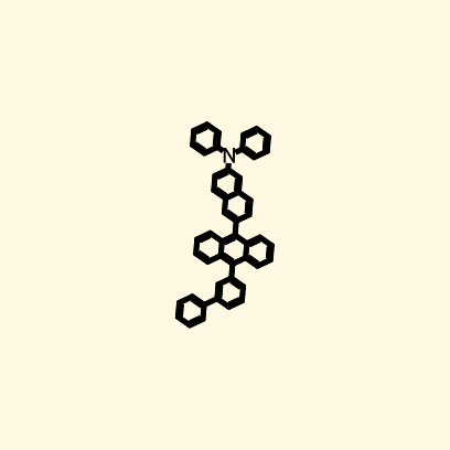 c1ccc(-c2cccc(-c3c4ccccc4c(-c4ccc5cc(N(c6ccccc6)c6ccccc6)ccc5c4)c4ccccc34)c2)cc1